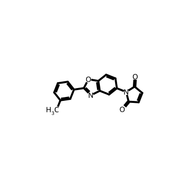 Cc1cccc(-c2nc3cc(N4C(=O)C=CC4=O)ccc3o2)c1